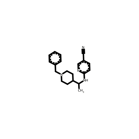 CC(Nc1ccc(C#N)cn1)C1CCN(Cc2ccccc2)CC1